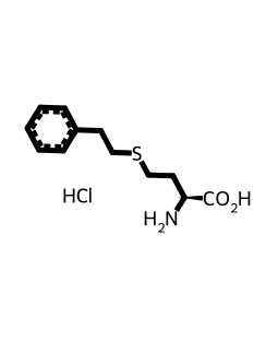 Cl.N[C@@H](CCSCCc1ccccc1)C(=O)O